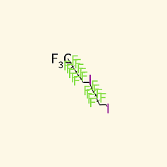 FC(F)(F)C(F)(F)C(F)(F)C(F)(F)C(F)(F)C(F)(F)C=C(I)C(F)(F)C(F)(F)C(F)(F)C(F)(F)CCI